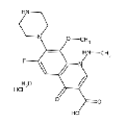 CNn1cc(C(=O)O)c(=O)c2cc(F)c(N3CCNCC3)c(OC)c21.Cl.O